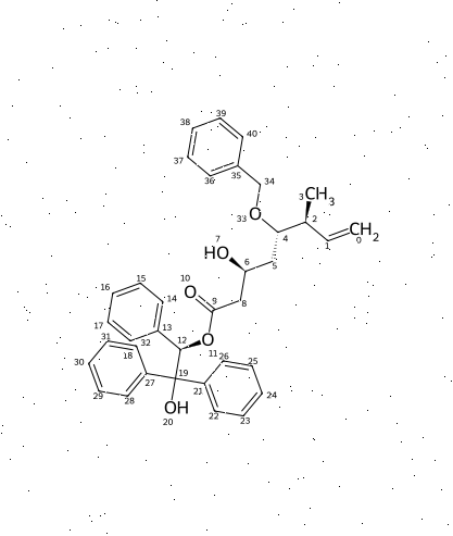 C=C[C@H](C)[C@H](C[C@H](O)CC(=O)O[C@H](c1ccccc1)C(O)(c1ccccc1)c1ccccc1)OCc1ccccc1